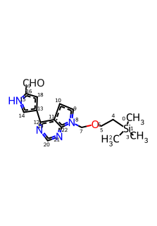 C[Si](C)(C)CCOCn1ccc2c(-c3c[nH]c(C=O)c3)ncnc21